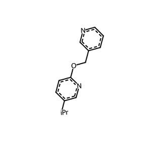 CC(C)c1ccc(OCc2cccnc2)nc1